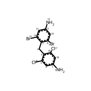 Nc1cc(Cl)c(Cc2c(Br)cc(N)cc2Br)c(Cl)c1